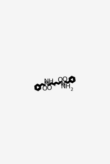 NN(C(=O)CCCCC(=O)N(N)C(=O)Cc1ccccc1)C(=O)Cc1ccccc1